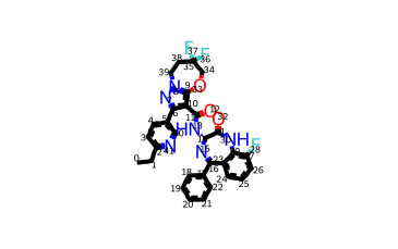 CCc1ccc(-c2nn3c(c2C(=O)N[C@H]2N=C(c4ccccc4)c4cccc(F)c4NC2=O)OCC(F)(F)CC3)cn1